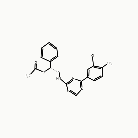 O=C(O[C@@H](CNc1ncnc(-c2ccc(C(F)(F)F)c(Cl)c2)n1)c1ccccc1)C(F)(F)F